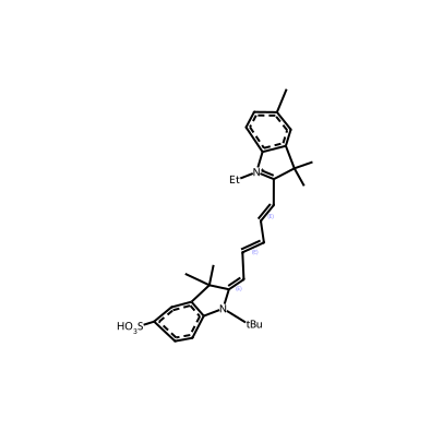 CC[N+]1=C(/C=C/C=C/C=C2/N(C(C)(C)C)c3ccc(S(=O)(=O)O)cc3C2(C)C)C(C)(C)c2cc(C)ccc21